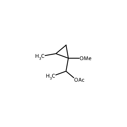 COC1(C(C)OC(C)=O)CC1C